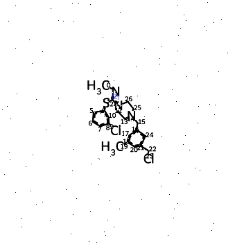 C/N=C(\Sc1cccc(Cl)c1)N1CCN(Cc2cc(C)cc(CCl)c2)CC1